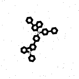 c1ccc(-c2ccc(N(c3ccc(-c4ccc5c(c4)c4ccccc4n5-c4ccccc4)cc3)c3ccc(-c4ccccc4)c4ccccc34)cc2)cc1